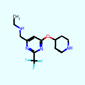 CCNCc1cc(OC2CCNCC2)nc(C(F)(F)F)n1